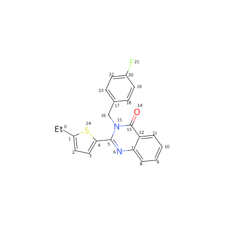 CCc1ccc(-c2nc3ccccc3c(=O)n2Cc2ccc(F)cc2)s1